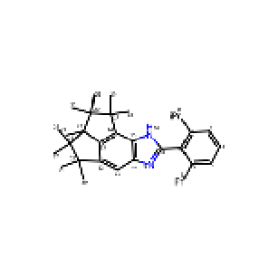 CC(C)c1cccc(C(C)C)c1-c1nc2cc3c4c(c2[nH]1)C(C)(C)C(C)(C)C4(C)C(C)(C)C3(C)C